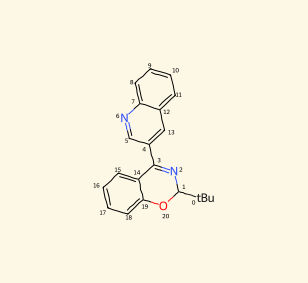 CC(C)(C)C1N=C(c2cnc3ccccc3c2)c2ccccc2O1